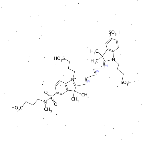 CN(CCCC(=O)O)S(=O)(=O)c1ccc2c(c1)C(C)(C)C(/C=C/C=C/C=C1/N(CCCS(=O)(=O)O)c3ccc(S(=O)(=O)O)cc3C1(C)C)=[N+]2CCCS(=O)(=O)O